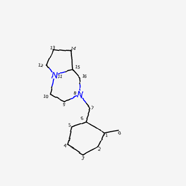 CC1CCCCC1CN1CCN2CCCC2C1